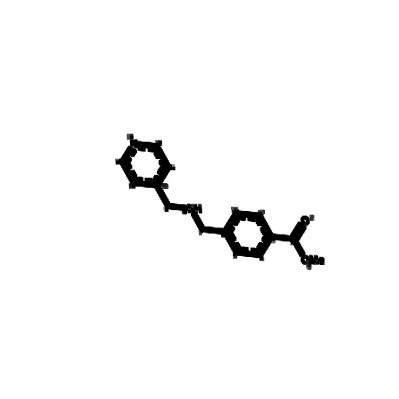 COC(=O)c1ccc(CNCc2ccncc2)cc1